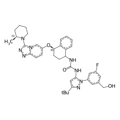 C[C@H]1CCCCN1c1nnc2ccc(O[C@@H]3CCC(NC(=O)Nc4cc(C(C)(C)C)nn4-c4cc(F)cc(CO)c4)c4ccccc43)cn12